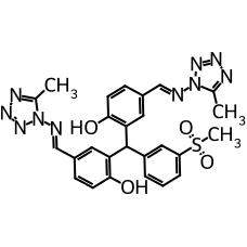 Cc1nnnn1N=Cc1ccc(O)c(C(c2cccc(S(C)(=O)=O)c2)c2cc(C=Nn3nnnc3C)ccc2O)c1